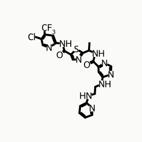 CC(NC(=O)c1cc(NCCNc2ccccn2)ncn1)c1ncc(C(=O)Nc2cc(C(F)(F)F)c(Cl)cn2)s1